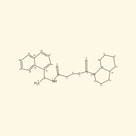 CC(NC(=O)CCCC(=O)N1CCCC2CCCCC21)c1cccc2ccccc12